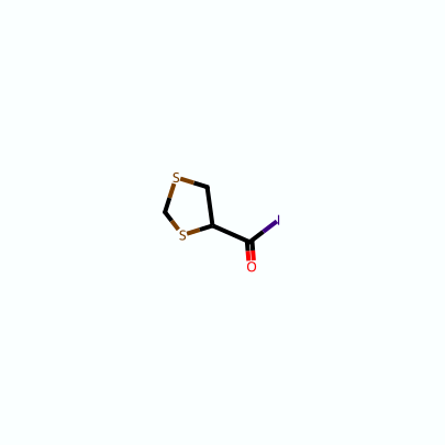 O=C(I)C1CSCS1